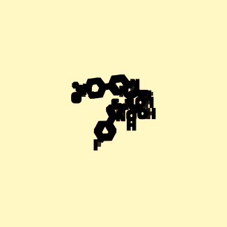 CCc1nc2ccc(C3CCN([S+](C)[O-])CC3)cn2c1N(c1nc(-c2ccc(F)cc2)cs1)C(O)(O)O